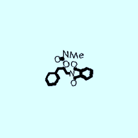 CNC(=O)OC(CC1CCCCC1)CN1C(=O)c2ccccc2C1=O